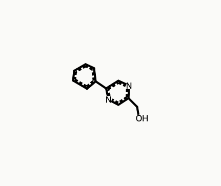 OCc1cnc(-c2ccccc2)cn1